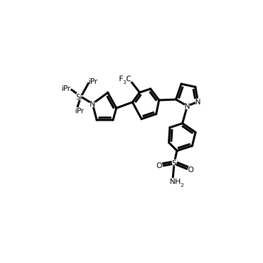 CC(C)[Si](C(C)C)(C(C)C)n1ccc(-c2ccc(-c3ccnn3-c3ccc(S(N)(=O)=O)cc3)cc2C(F)(F)F)c1